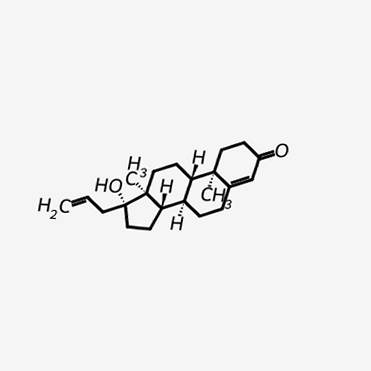 C=CC[C@]1(O)CC[C@H]2[C@@H]3CCC4=CC(=O)CC[C@]4(C)[C@H]3CC[C@@]21C